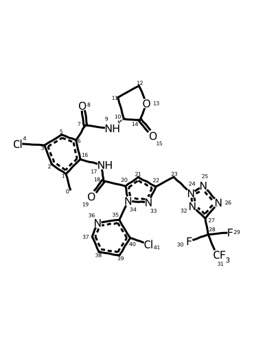 Cc1cc(Cl)cc(C(=O)N[C@@H]2CCOC2=O)c1NC(=O)c1cc(Cn2nnc(C(F)(F)C(F)(F)F)n2)nn1-c1ncccc1Cl